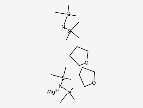 C1CCOC1.C1CCOC1.C[Si](C)(C)[N-][Si](C)(C)C.C[Si](C)(C)[N-][Si](C)(C)C.[Mg+2]